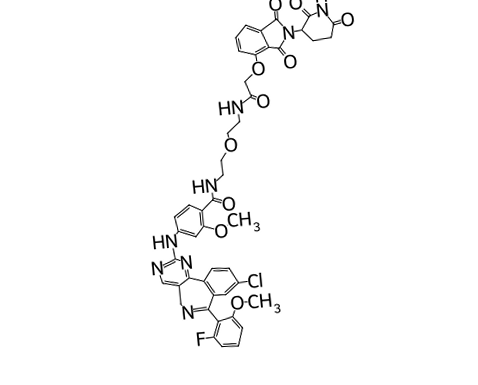 COc1cc(Nc2ncc3c(n2)-c2ccc(Cl)cc2C(c2c(F)cccc2OC)=NC3)ccc1C(=O)NCCOCCNC(=O)COc1cccc2c1C(=O)N(C1CCC(=O)NC1=O)C2=O